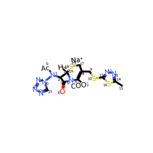 CC(=O)N(C1C(=O)N2C(C(=O)[O-])=C(CSc3nnc(C)s3)CS[C@@H]12)n1cnnn1.[Na+]